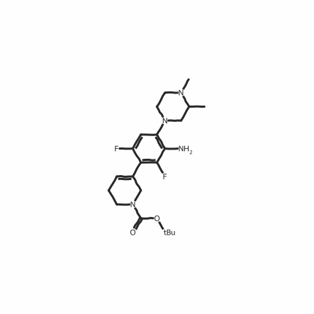 CC1CN(c2cc(F)c(C3=CCCN(C(=O)OC(C)(C)C)C3)c(F)c2N)CCN1C